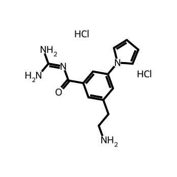 Cl.Cl.NCCc1cc(C(=O)N=C(N)N)cc(-n2cccc2)c1